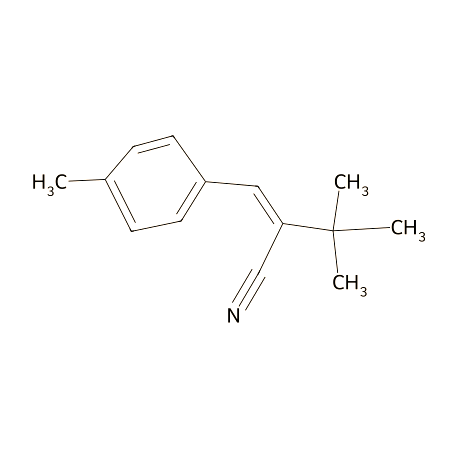 Cc1ccc(C=C(C#N)C(C)(C)C)cc1